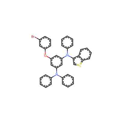 Brc1cccc(Oc2cc(N(c3ccccc3)c3ccccc3)cc(N(c3ccccc3)c3csc4ccccc34)c2)c1